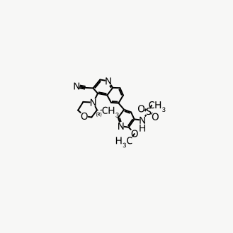 COc1ncc(-c2ccc3ncc(C#N)c(N4CCOC[C@H]4C)c3c2)cc1NS(C)(=O)=O